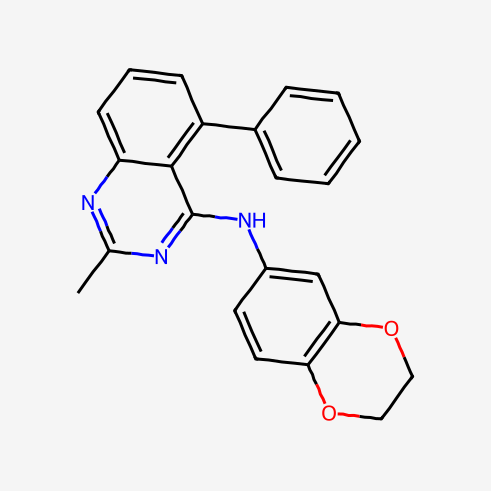 Cc1nc(Nc2ccc3c(c2)OCCO3)c2c(-c3ccccc3)cccc2n1